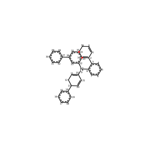 C1=CC(c2ccccc2N(C2=CCC(c3ccccc3)C=C2)c2cccc(-c3ccccc3)c2)=CCC1